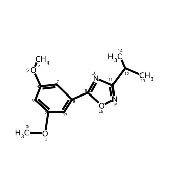 COc1cc(OC)cc(-c2nc(C(C)C)no2)c1